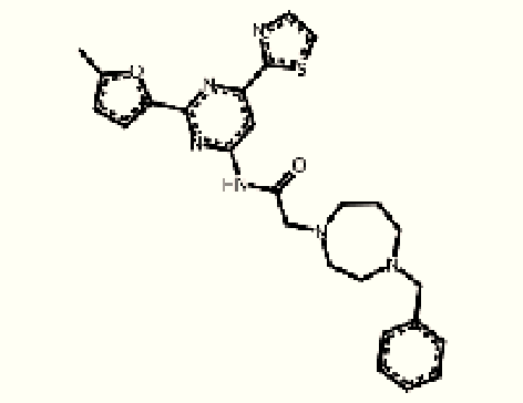 Cc1ccc(-c2nc(NC(=O)CN3CCCN(Cc4ccccc4)CC3)cc(-c3nccs3)n2)o1